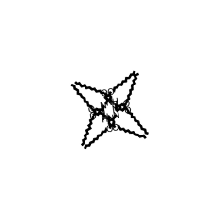 CCCCCCCCCCCCOc1cc2c(cc1OCCCCCCCCCCCC)-c1nc-2nc2[nH]c(nc3nc(nc4[nH]c(n1)c1cc(OCCCCCCCCCCCC)c(OCCCCCCCCCCCC)cc41)-c1cc(OCCCCCCCCCCCC)c(OCCCCCCCCCCCC)cc1-3)c1cc(OCCCCCCCCCCCC)c(OCCCCCCCCCCCC)cc21